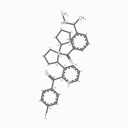 CNC(C)c1cccc(C(=O)[N+]2(C3CCCN3)CCCC2c2cccnc2C(=O)c2ccc(F)cc2)c1